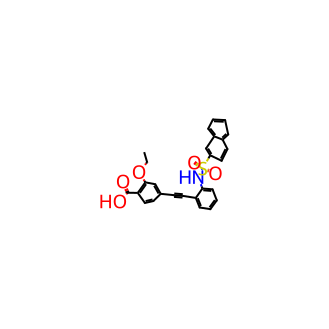 CCOc1cc(C#Cc2ccccc2NS(=O)(=O)c2ccc3ccccc3c2)ccc1C(=O)O